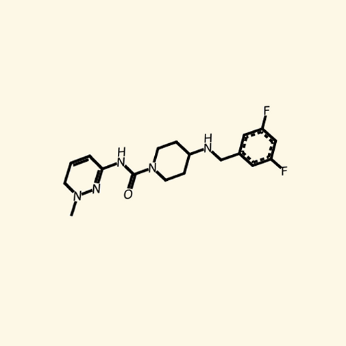 CN1CC=CC(NC(=O)N2CCC(NCc3cc(F)cc(F)c3)CC2)=N1